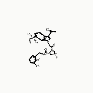 CCP(=O)(S)c1ccc2c(C(C)=O)cn(CC(=O)N3C[C@H](F)C[C@H]3C(=O)NCc3cccc(Cl)c3F)c2c1